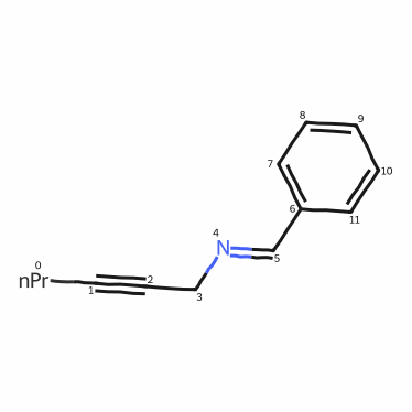 CCCC#CCN=Cc1ccccc1